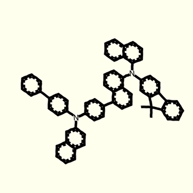 CC1(C)c2ccccc2-c2ccc(N(c3cccc4ccccc34)c3cccc4c(-c5ccc(N(c6ccc(-c7ccccc7)cc6)c6ccc7ccccc7c6)cc5)cccc34)cc21